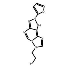 CC(C)CCN1C=NC2=C3NN(c4ccco4)N=C3N=CN21